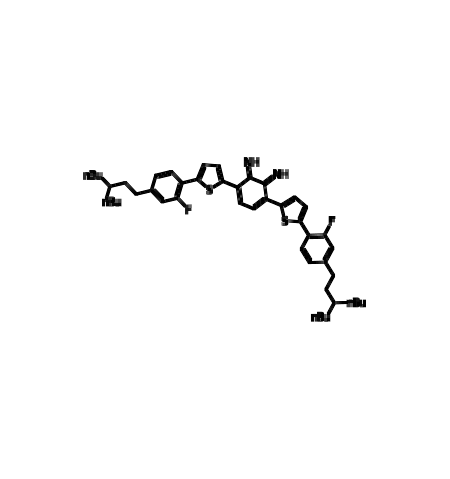 CCCCC(CCCC)CCc1ccc(-c2ccc(C3=CC=C(c4ccc(-c5ccc(CCC(CCCC)CCCC)cc5F)s4)C(=N)C3=N)s2)c(F)c1